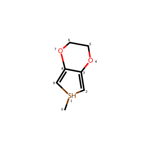 C[SH]1C=C2OCCOC2=C1